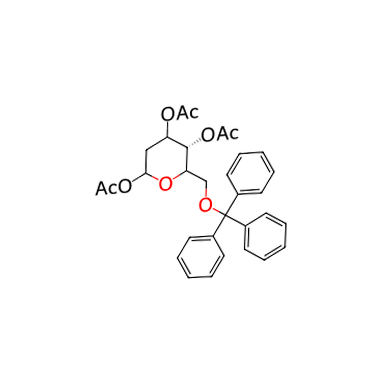 CC(=O)OC1CC(OC(C)=O)[C@H](OC(C)=O)C(COC(c2ccccc2)(c2ccccc2)c2ccccc2)O1